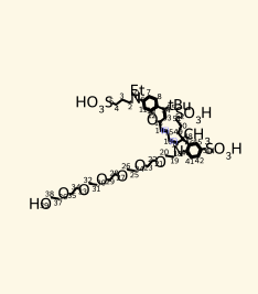 CCN(CCCS(=O)(=O)O)c1ccc2c(c1)OC(/C=C/C=C1/N(CCOCCOCCOCCOCCOCCOCCO)c3ccc(S(=O)(=O)O)cc3C1(C)CCCS(=O)(=O)O)C=C2C(C)(C)C